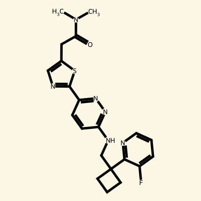 CN(C)C(=O)Cc1cnc(-c2ccc(NCC3(c4ncccc4F)CCC3)nn2)s1